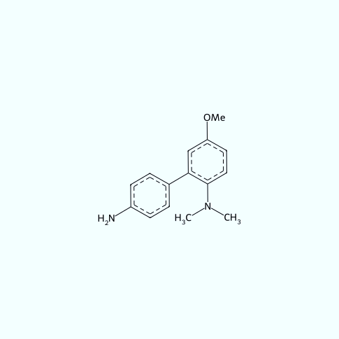 COc1ccc(N(C)C)c(-c2ccc(N)cc2)c1